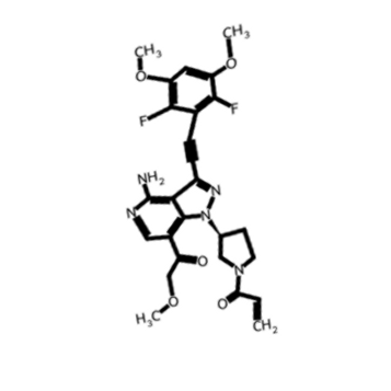 C=CC(=O)N1CC[C@H](n2nc(C#Cc3c(F)c(OC)cc(OC)c3F)c3c(N)ncc(C(=O)COC)c32)C1